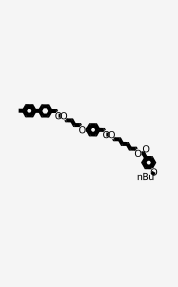 CCCCOc1ccc(C(=O)OCCCCCCOOCc2ccc(OCCCCOOCC3CCC(c4ccc(C)cc4)CC3)cc2)cc1